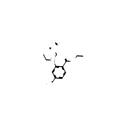 CCOC(=O)c1ccc(Cl)cc1N(CC)C[SH](=O)=O